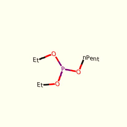 CCCCCOP(OCC)OCC